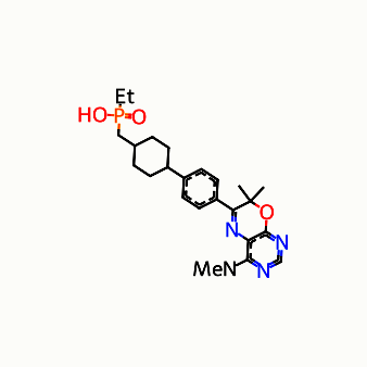 CCP(=O)(O)CC1CCC(c2ccc(C3=Nc4c(NC)ncnc4OC3(C)C)cc2)CC1